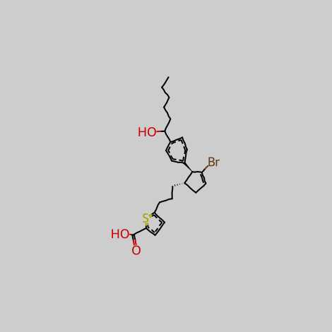 CCCCCC(O)c1ccc([C@H]2C(Br)=CC[C@@H]2CCCc2ccc(C(=O)O)s2)cc1